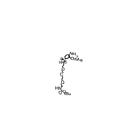 COc1cc(S(=O)(=O)NCCOCCOCCOCCNC(=O)OC(C)(C)C)ccc1N